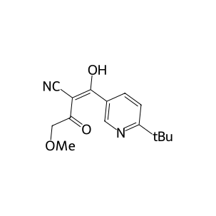 COCC(=O)/C(C#N)=C(/O)c1ccc(C(C)(C)C)nc1